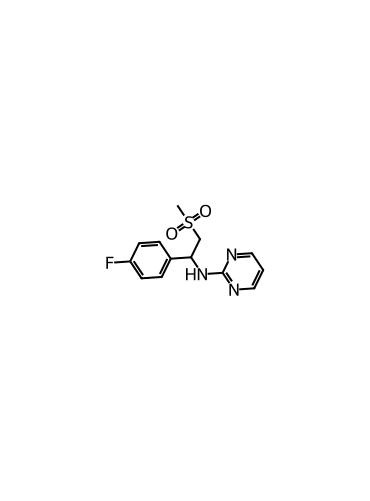 CS(=O)(=O)CC(Nc1ncccn1)c1ccc(F)cc1